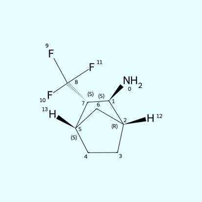 N[C@H]1[C@@H]2CC[C@@H](C2)[C@@H]1C(F)(F)F